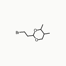 CC1COC(CCBr)OC1C